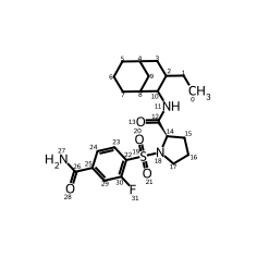 CCC1CC2CCCC(C2)C1NC(=O)[C@H]1CCCN1S(=O)(=O)c1ccc(C(N)=O)cc1F